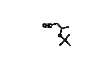 CC(CC=O)OC(C)(C)C